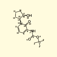 CC(C)(C)OC(=O)Nc1cccn([C@H]2CCC[C@H]2O)c1=O